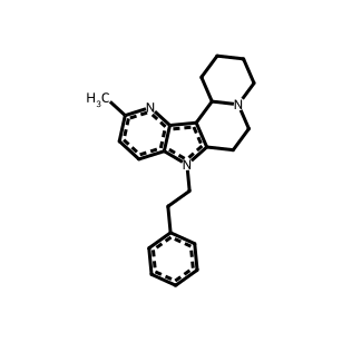 Cc1ccc2c(n1)c1c(n2CCc2ccccc2)CCN2CCCCC12